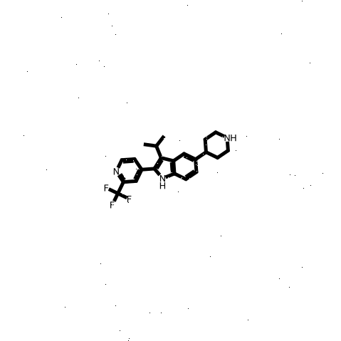 CC(C)c1c(-c2ccnc(C(F)(F)F)c2)[nH]c2ccc(C3CCNCC3)cc12